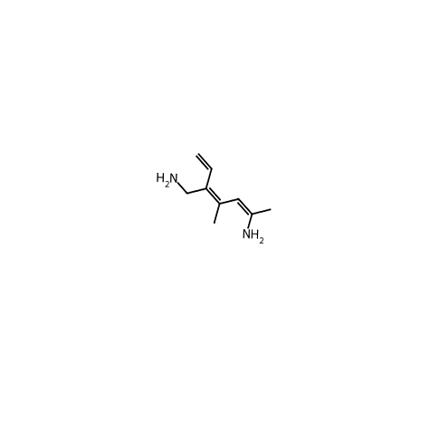 C=C/C(CN)=C(C)\C=C(\C)N